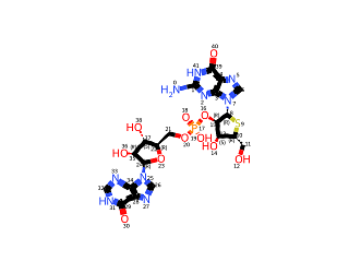 Nc1nc2c(ncn2[C@@H]2S[C@H](CO)[C@@H](O)[C@H]2OP(=O)(O)OC[C@H]2O[C@@H](n3cnc4c(=O)[nH]cnc43)[C@H](O)[C@@H]2O)c(=O)[nH]1